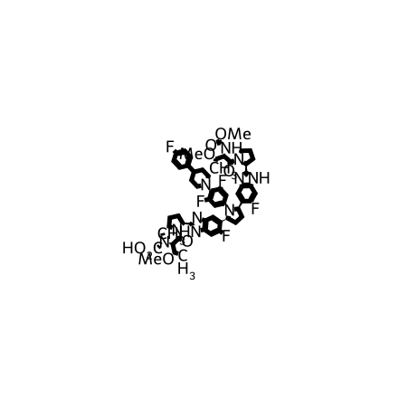 COC(=O)N[C@H](C(=O)N1CCC[C@H]1c1nc2cc([C@H]3CC[C@H](c4cc5nc([C@@H]6CCCN6C(=O)[C@H]([C@@H](C)OC)N(C)C(=O)O)[nH]c5cc4F)N3c3cc(F)c(N4CCC(c5ccc(F)cc5)CC4)c(F)c3)c(F)cc2[nH]1)C(C)OC